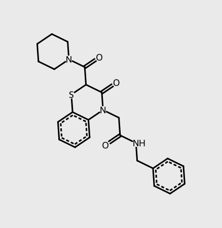 O=C(CN1C(=O)C(C(=O)N2CCCCC2)Sc2ccccc21)NCc1ccccc1